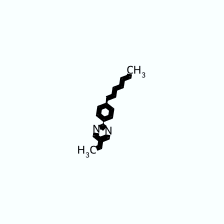 CCCCCCC[C@H]1CC[C@H](c2ncc(CC)cn2)CC1